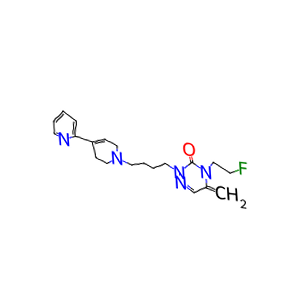 C=C1C=NN(CCCCN2CC=C(c3ccccn3)CC2)C(=O)N1CCF